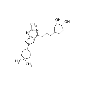 Cc1nc(CCCC2CC[C@@H](O)[C@@H](O)C2)c2cc(C3CCC(C)(C)CC3)sc2n1